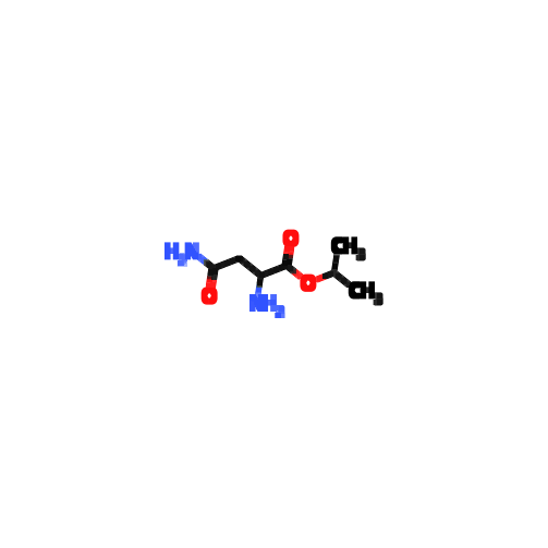 CC(C)OC(=O)C(N)CC(N)=O